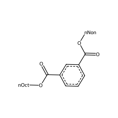 CCCCCCCCCOC(=O)c1cccc(C(=O)OCCCCCCCC)c1